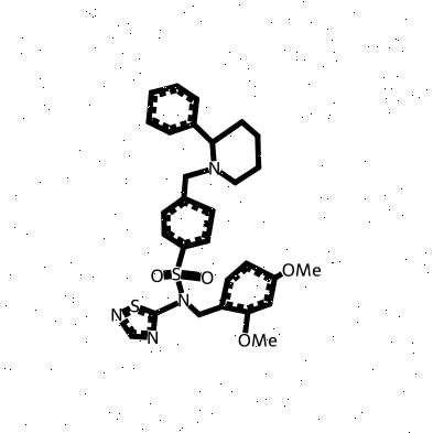 COc1ccc(CN(c2ncns2)S(=O)(=O)c2ccc(CN3CCCCC3c3ccccc3)cc2)c(OC)c1